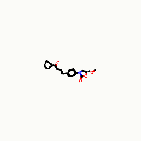 COC[C@H]1CN(c2ccc(CCCC(=O)C3CCCCC3)cc2)C(=O)O1